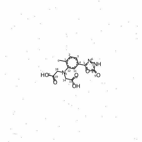 Cc1ccc(-c2n[nH]c(=O)o2)cc1N(CC(=O)O)CC(=O)O